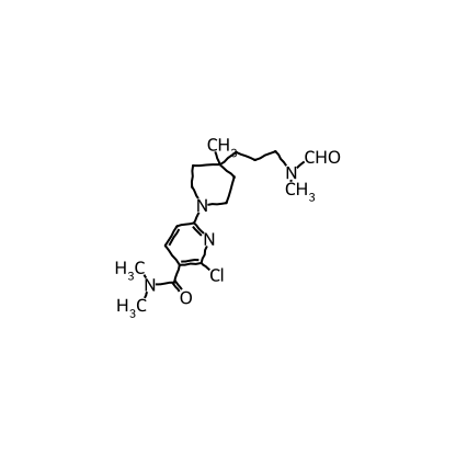 CN(C=O)CCCC1(C)CCN(c2ccc(C(=O)N(C)C)c(Cl)n2)CC1